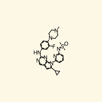 CN1CCN(c2ccc(Nc3ncc4cc(C5CC5)n(-c5cccc(N=S(C)(C)=O)n5)c4n3)cc2F)CC1